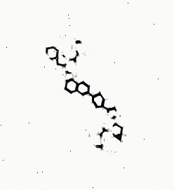 COC(=O)N[C@H](C(=O)N1C[C@]2(CCCOC2)C[C@H]1c1nc2ccc3cc(-c4ccc(-c5cnc([C@@H]6C[C@H]7C[C@H]7N6C(=O)[C@@H](NC(=O)OC)C(C)C)[nH]5)cc4)ccc3c2[nH]1)C(C)C